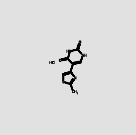 Cc1nc(-c2c[nH]c(=O)[nH]c2=O)cs1.Cl